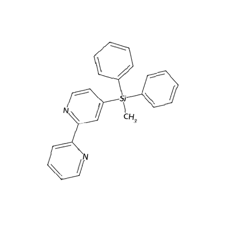 C[Si](c1ccccc1)(c1ccccc1)c1ccnc(-c2ccccn2)c1